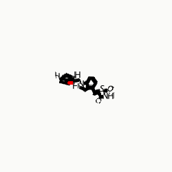 CC1(C)[C@H]2CC[C@H](Cn3ccc4c(C=C5SC(=O)NC5=O)cccc43)[C@@H]1C2